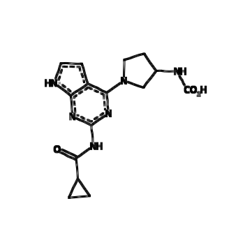 O=C(O)NC1CCN(c2nc(NC(=O)C3CC3)nc3[nH]ccc23)C1